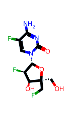 Nc1nc(=O)n([C@@H]2O[C@@](CO)(CF)[C@@H](O)[C@H]2F)cc1F